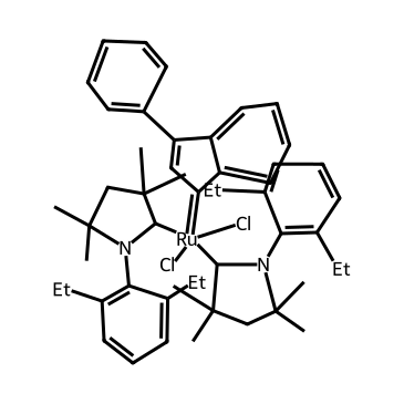 CCc1cccc(CC)c1N1[CH]([Ru]([Cl])([Cl])(=[C]2C=C(c3ccccc3)c3ccccc32)[CH]2N(c3c(CC)cccc3CC)C(C)(C)CC2(C)C)C(C)(C)CC1(C)C